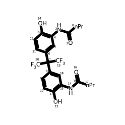 CCCC(=O)Nc1cc(C(c2ccc(O)c(NC(=O)CCC)c2)(C(F)(F)F)C(F)(F)F)ccc1O